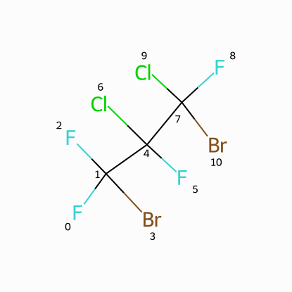 FC(F)(Br)C(F)(Cl)C(F)(Cl)Br